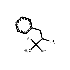 [CH2]C(CCC)(CCC)C(C)Cc1ccncc1